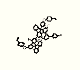 C=Cc1ccc(Oc2ccc(C3(c4c(F)c(F)cc(F)c4F)c4ccccc4-c4ccc(N(c5ccc(-c6ccc(F)cc6)cc5)c5ccc6c(c5)C(c5ccc(Oc7ccc(C=C)cc7)cc5)(c5c(F)c(F)cc(F)c5F)c5ccccc5-6)cc43)cc2)cc1